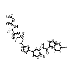 Cc1ccn2c(C(=O)Nc3cc(-c4noc(CCC(C)(OC(=O)[C@H](C)NC(=O)OC(C)(C)C)C(F)(F)F)n4)ccc3C)cnc2c1